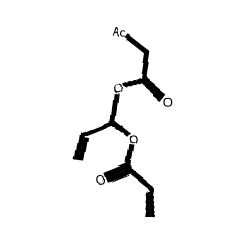 C=CC(=O)OC(C=C)OC(=O)CC(C)=O